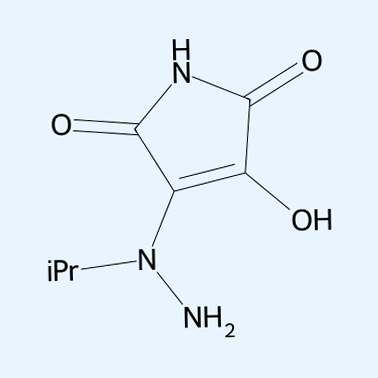 CC(C)N(N)C1=C(O)C(=O)NC1=O